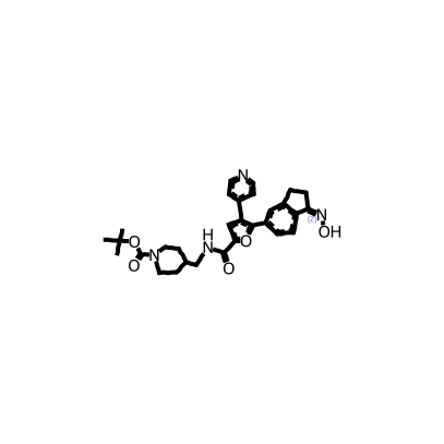 CC(C)(C)OC(=O)N1CCC(CNC(=O)c2cc(-c3ccncc3)c(-c3ccc4c(c3)CC/C4=N/O)o2)CC1